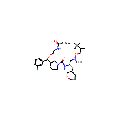 COC(=O)NCCOC(c1cccc(F)c1)[C@@H]1CCCN(C(=O)N[C@@H](CC2CCCOC2)CN(C=O)OCC(C)[Si](C)(C)C)C1